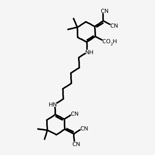 CC1(C)CC(NCCCCCCNC2=C(C(=O)O)C(=C(C#N)C#N)CC(C)(C)C2)=C(C#N)C(=C(C#N)C#N)C1